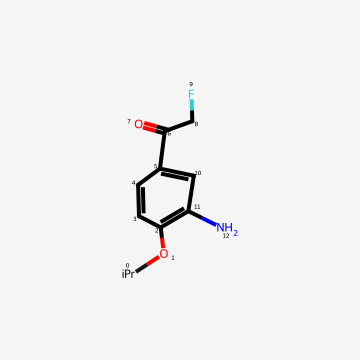 CC(C)Oc1ccc(C(=O)CF)cc1N